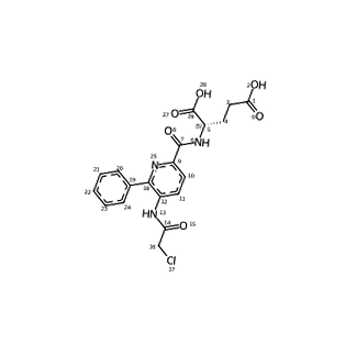 O=C(O)CC[C@H](NC(=O)c1ccc(NC(=O)CCl)c(-c2ccccc2)n1)C(=O)O